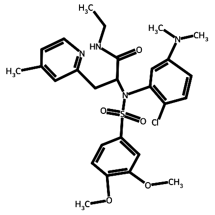 CCNC(=O)C(Cc1cc(C)ccn1)N(c1cc(N(C)C)ccc1Cl)S(=O)(=O)c1ccc(OC)c(OC)c1